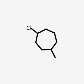 [CH2]C1CCCC(Cl)CC1